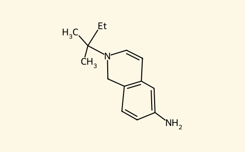 CCC(C)(C)N1C=Cc2cc(N)ccc2C1